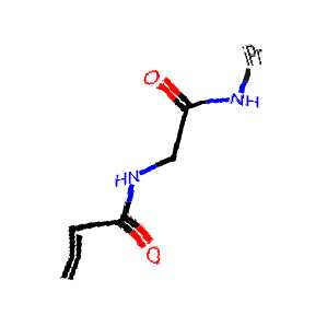 C=CC(=O)NCC(=O)NC(C)C